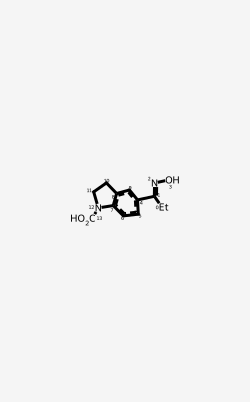 CCC(=NO)c1ccc2c(c1)CCN2C(=O)O